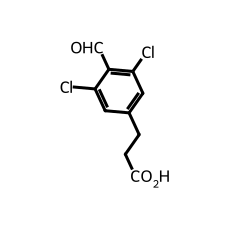 O=Cc1c(Cl)cc(CCC(=O)O)cc1Cl